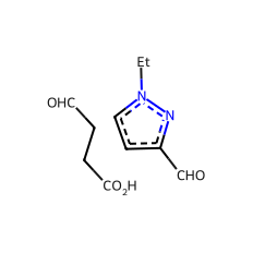 CCn1ccc(C=O)n1.O=CCCC(=O)O